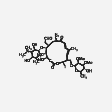 COC1C(OC)[C@H](O)C(C)O[C@H]1OCC1/C=C(C)/C=C/C(=O)[C@H](C)C[C@H](CC=O)[C@H](O[C@@H]2OC(C)[C@@H](O)C(N(C)C)C2O)[C@@H](C)[C@H](O)CC(=O)O[C@@H]1I